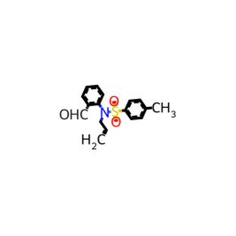 C=CCN(c1ccccc1C=O)S(=O)(=O)c1ccc(C)cc1